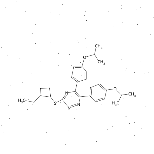 CCC1CCC1Sc1nnc(-c2ccc(OC(C)C)cc2)c(-c2ccc(OC(C)C)cc2)n1